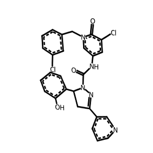 O=C(Nc1cc(Cl)c(=O)n(Cc2cccc(Cl)c2)c1)N1N=C(c2cccnc2)CC1c1ccccc1O